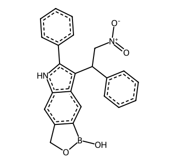 O=[N+]([O-])CC(c1ccccc1)c1c(-c2ccccc2)[nH]c2cc3c(cc12)B(O)OC3